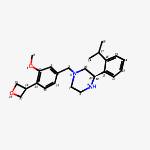 COc1cc(CN2CCN[C@H](c3ccccc3C(C)C)C2)ccc1C1COC1